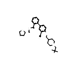 CC(C)(F)CN1CCC(COc2ccc(-c3ccccc3C(=O)NC(=O)[C@@H]3C[C@@H](O)CN3)cc2C#N)CC1